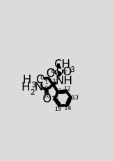 CCC(NS(C)(=O)=O)(C(N)=O)c1ccccc1